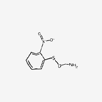 NOSc1ccccc1[N+](=O)[O-]